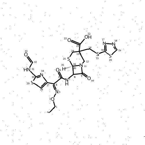 CCON=C(C(=O)NC1C(=O)N2CC(CSc3nncs3)(C(=O)O)CS[C@H]12)c1csc(NC=O)n1